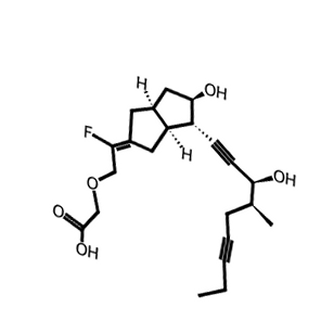 CCC#CC[C@H](C)[C@H](O)C#C[C@@H]1[C@H]2C/C(=C(/F)COCC(=O)O)C[C@H]2C[C@H]1O